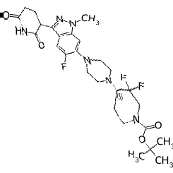 Cn1nc(C2CCC(=O)NC2=O)c2cc(F)c(N3CCN([C@H]4CCN(C(=O)OC(C)(C)C)CC4(F)F)CC3)cc21